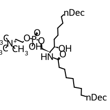 CCCCCCCCCCCCCCCCCC(=O)N[C@@H](COP(=O)(O)OCC[N+](C)(C)C)[C@H](O)CCCCCCCCCCCCCCC